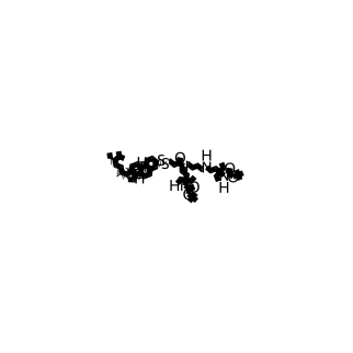 CC[C@H](CC[C@@H](C)[C@H]1CC[C@H]2[C@@H]3CC=C4C[C@@H](SSCCC(=O)N(CCCCNCCC(CC)(CC)NC(=O)OC(C)(C)C)CCC(CC)(CC)NC(=O)OC(C)(C)C)CC[C@]4(C)[C@H]3CC[C@]12C)C(C)C